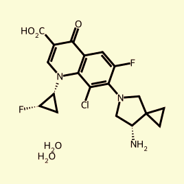 N[C@@H]1CN(c2c(F)cc3c(=O)c(C(=O)O)cn([C@@H]4C[C@@H]4F)c3c2Cl)CC12CC2.O.O